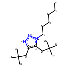 CCCCCCn1nnc(CC(C)(C)C)c1CC(C)(C)C